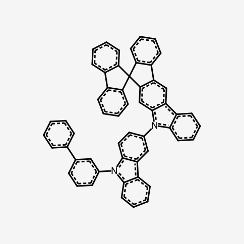 c1ccc(-c2cccc(-n3c4ccccc4c4cc(-n5c6ccccc6c6cc7c(cc65)C5(c6ccccc6-c6ccccc65)c5ccccc5-7)ccc43)c2)cc1